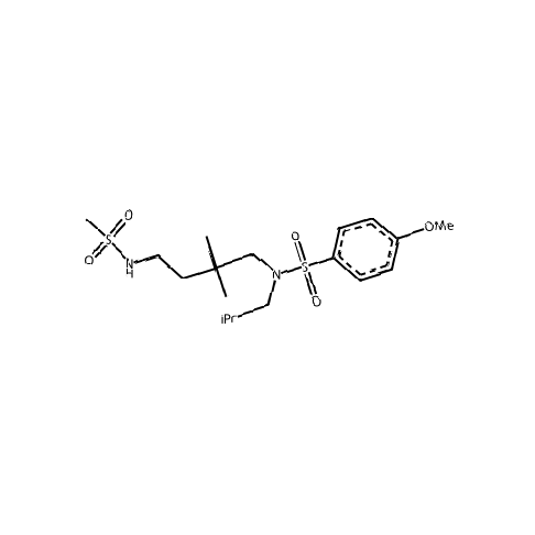 COc1ccc(S(=O)(=O)N(CC(C)C)CC(C)(C)CCNS(C)(=O)=O)cc1